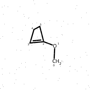 [CH2]OC1=CCC1